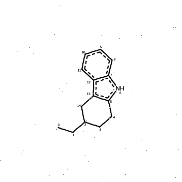 CCC1CCc2[nH]c3ccccc3c2C1